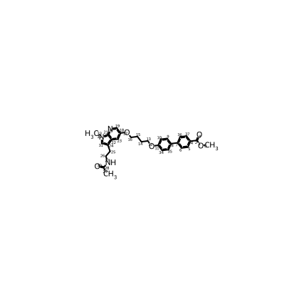 COC(=O)c1ccc(-c2ccc(OCCCCOc3cnc4c(c3)c(CCNC(C)=O)cn4C)cc2)cc1